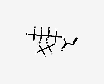 C=CC(=O)OC(F)(OC(F)(F)C(F)(F)F)C(F)(F)C(F)(F)C(F)(F)F